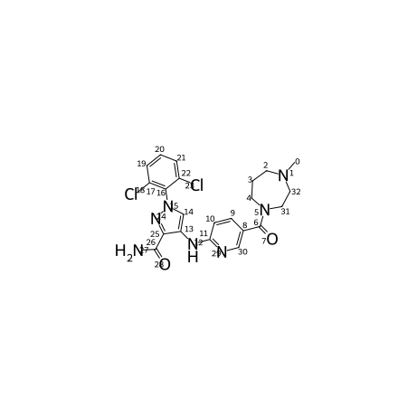 CN1CCCN(C(=O)c2ccc(Nc3cn(-c4c(Cl)cccc4Cl)nc3C(N)=O)nc2)CC1